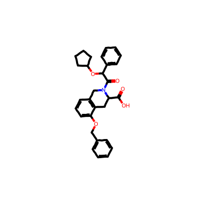 O=C(O)C1Cc2c(cccc2OCc2ccccc2)CN1C(=O)C(OC1CCCC1)c1ccccc1